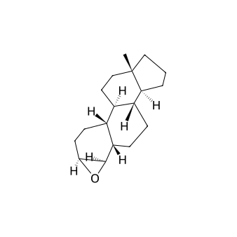 C[C@@]12CCC[C@H]1[C@@H]1CC[C@H]3[C@H](CC[C@@H]4O[C@H]34)[C@H]1CC2